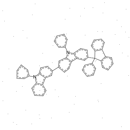 c1ccc(-n2c3ccccc3c3cc(-c4ccc5c6cc(C7(c8ccccc8)c8ccccc8-c8ccccc87)ccc6n(-c6ccccc6)c5c4)ccc32)cc1